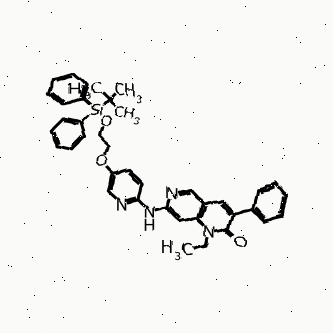 CCn1c(=O)c(-c2ccccc2)cc2cnc(Nc3ccc(OCCO[Si](c4ccccc4)(c4ccccc4)C(C)(C)C)cn3)cc21